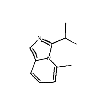 Cc1cccc2cnc(C(C)C)n12